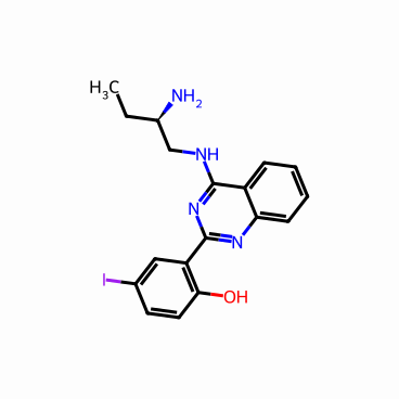 CC[C@@H](N)CNc1nc(-c2cc(I)ccc2O)nc2ccccc12